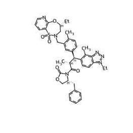 CC[C@@H]1CN(Cc2cc([C@@H](c3ccc4c(nnn4CC)c3C)[C@@H](C)C(=O)N3C(=O)OC[C@H]3Cc3ccccc3)ccc2C)S(=O)(=O)c2cccnc2O1